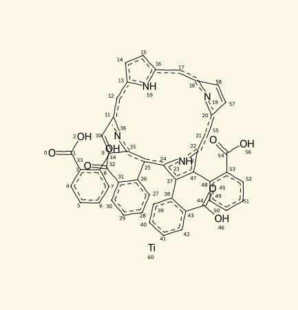 O=C(O)c1ccccc1C1=Cc2cc3ccc(cc4nc(cc5[nH]c(c(-c6ccccc6C(=O)O)c1n2)c(-c1ccccc1C(=O)O)c5-c1ccccc1C(=O)O)C=C4)[nH]3.[Ti]